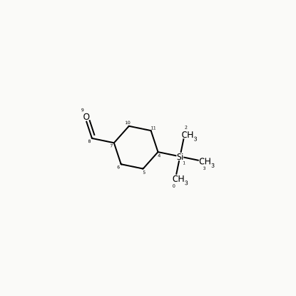 C[Si](C)(C)C1CCC(C=O)CC1